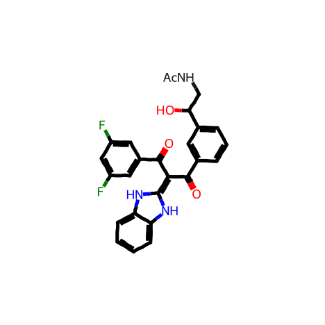 CC(=O)NCC(O)c1cccc(C(=O)C(C(=O)c2cc(F)cc(F)c2)=C2Nc3ccccc3N2)c1